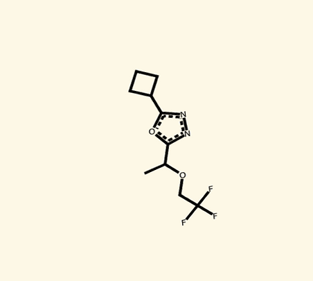 CC(OCC(F)(F)F)c1nnc(C2CCC2)o1